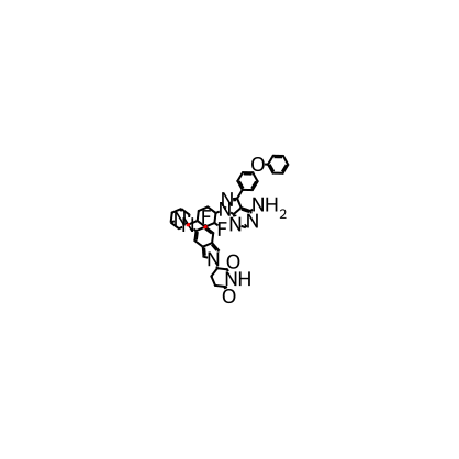 Nc1ncnc2c1c(-c1ccc(Oc3ccccc3)cc1)nn2C1CCC(CN2C3CC2CN(c2cc4cn(C5CCC(=O)NC5=O)cc4cc2F)C3)CC1F